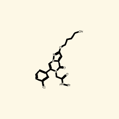 CC(C)NC(=O)Cn1c(-c2cccc(Cl)c2)cn2nc(OCCCCO)cc2c1=O